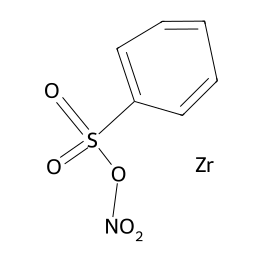 O=[N+]([O-])OS(=O)(=O)c1ccccc1.[Zr]